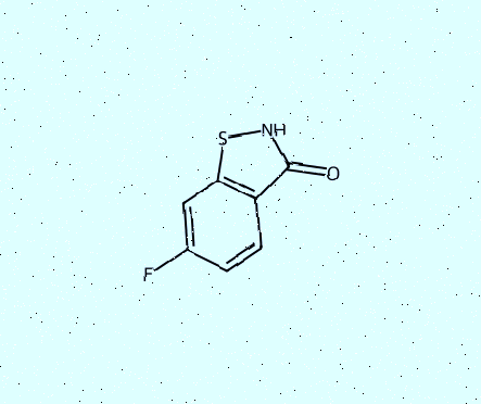 O=c1[nH]sc2cc(F)ccc12